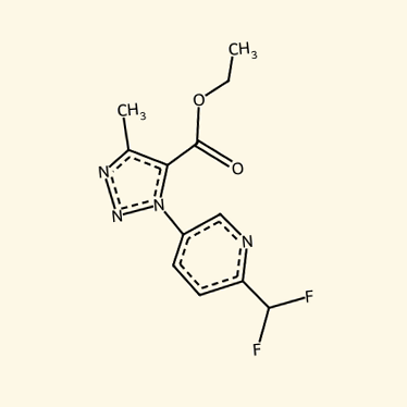 CCOC(=O)c1c(C)nnn1-c1ccc(C(F)F)nc1